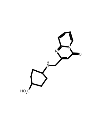 O=C(O)C1CCC(NCc2cc(=O)n3ccccc3n2)CC1